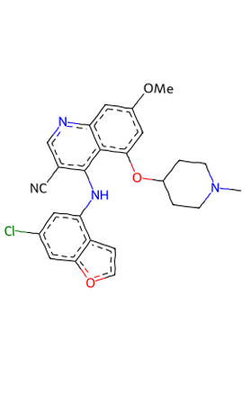 COc1cc(OC2CCN(C)CC2)c2c(Nc3cc(Cl)cc4occc34)c(C#N)cnc2c1